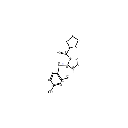 O=C(C1CCCC1)N1CCN/C1=N\c1ccc(Cl)cc1Cl